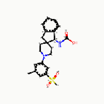 Cc1cc(N2CCC3(CC2)Cc2ccccc2[C@H]3NC(=O)O)cc(S(C)(=O)=O)c1